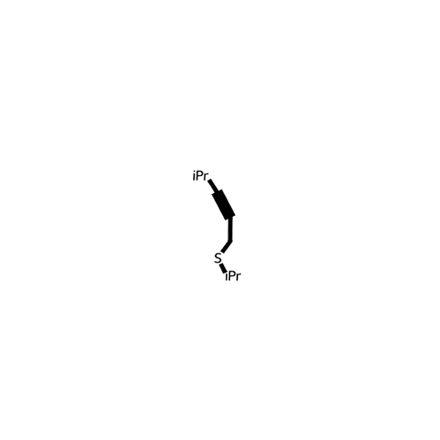 CC(C)C#CCSC(C)C